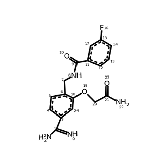 N=C(N)c1ccc(CNC(=O)c2cccc(F)c2)c(OCC(N)=O)c1